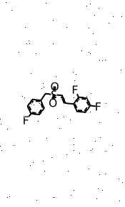 O=S(=O)(C=Cc1ccc(F)cc1F)Cc1ccc(F)cc1